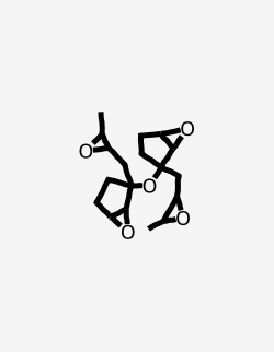 CC1OC1CC1(OC2(CC3OC3C)CCC3OC32)CCC2OC21